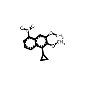 COc1cc2c([N+](=O)[O-])cccc2c(C2CC2)c1OC